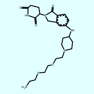 NCCOCCOCCN1CCC(Nc2ccc3c(c2)CN(C2CCC(=O)NC2=O)C3=O)CC1